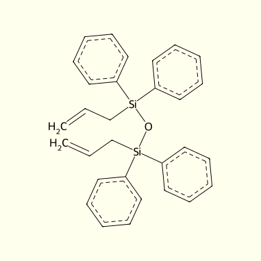 C=CC[Si](O[Si](CC=C)(c1ccccc1)c1ccccc1)(c1ccccc1)c1ccccc1